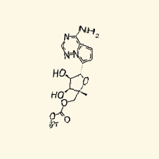 CC(C)OC(=O)OC[C@@]1(C)O[C@@H](c2ccc3c(N)ncnn23)[C@H](O)[C@@H]1O